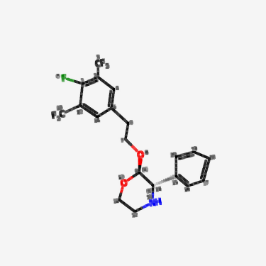 Fc1c(C(F)(F)F)cc(CCO[C@@H]2OCCN[C@H]2c2ccccc2)cc1C(F)(F)F